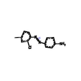 Cc1ccc(/N=N/c2ccc(N)cc2)c(Cl)c1